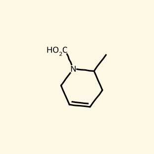 CC1CC=CCN1C(=O)O